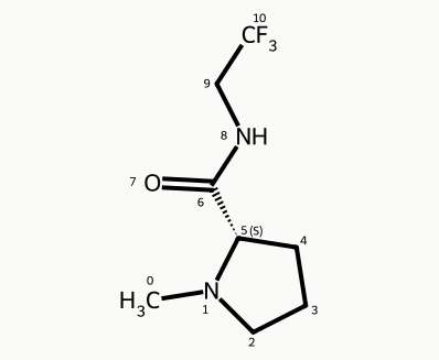 CN1CCC[C@H]1C(=O)NCC(F)(F)F